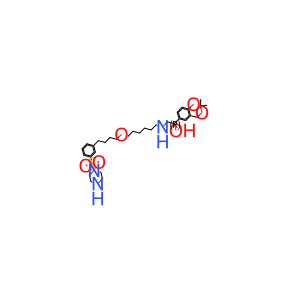 CC1(C)OCc2cc([C@@H](O)CNCCCCCCOCCCCc3cccc(S(=O)(=O)N4CCNCC4)c3)ccc2O1